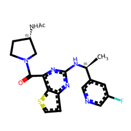 CC(=O)N[C@H]1CCN(C(=O)c2nc(N[C@@H](C)c3cncc(F)c3)nc3ccsc23)C1